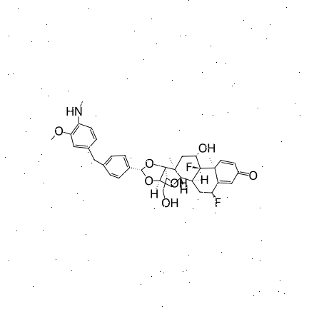 CNc1ccc(Cc2ccc([C@H]3O[C@@H]4C[C@H]5[C@@H]6C[C@H](F)C7=CC(=O)C=C[C@]7(C)[C@@]6(F)[C@@H](O)C[C@]5(C)[C@]4(C(O)CO)O3)cc2)cc1OC